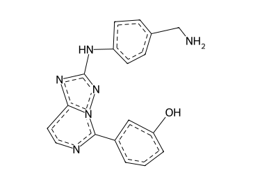 NCc1ccc(Nc2nc3ccnc(-c4cccc(O)c4)n3n2)cc1